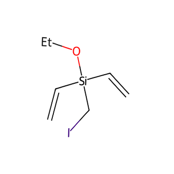 C=C[Si](C=C)(CI)OCC